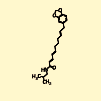 CC(C)CNC(=O)/C=C/C=C/CCC/C=C/Cc1ccc2c(c1)OCO2